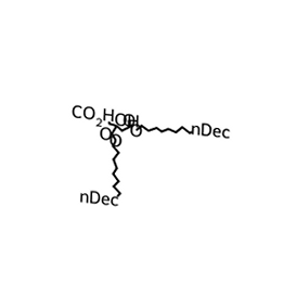 CCCCCCCCCCCCCCCCCCOC(=O)CC(O)(CC(=O)O)C(=O)OCCCCCCCCCCCCCCCCCC